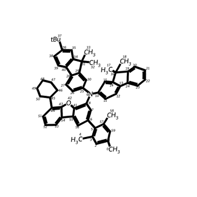 Cc1cc(C)c(-c2cc(N(c3ccc4c(c3)C(C)(C)c3ccccc3-4)c3ccc4c(c3)C(C)(C)c3cc(C(C)(C)C)ccc3-4)c3oc4c(C5CCCCC5)cccc4c3c2)c(C)c1